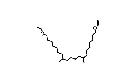 C=COCCCCCCCC(C)CCCCC(C)CCCCCCCOCC